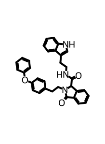 O=C(NCCc1c[nH]c2ccccc12)C1c2ccccc2C(=O)N1CCc1ccc(Oc2ccccc2)cc1